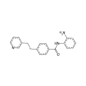 Nc1ccccc1NC(=O)c1ccc([CH]Cc2cccnc2)cc1